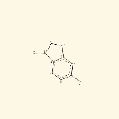 Cc1ccc2c(c1)CCC2C